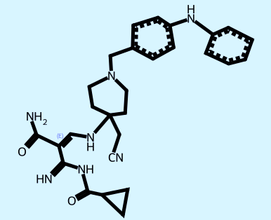 N#CCC1(N/C=C(\C(=N)NC(=O)C2CC2)C(N)=O)CCN(Cc2ccc(Nc3ccccc3)cc2)CC1